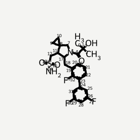 CC(C)(O)C(=O)N1CC2(CC2)C(CS(N)(=O)=O)C1Cc1cccc(-c2cc(F)cc(F)c2)c1F